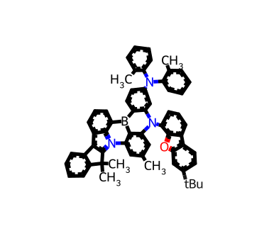 Cc1cc2c3c(c1)-n1c4c(c5cccc(c51)B3c1ccc(N(c3ccccc3C)c3ccccc3C)cc1N2c1cccc2c1oc1cc(C(C)(C)C)ccc12)-c1ccccc1C4(C)C